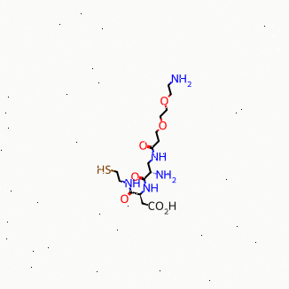 NCCOCCOCCC(=O)NC[C@H](N)C(=O)N[C@@H](CC(=O)O)C(=O)NCCS